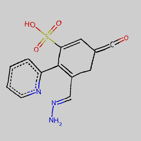 NN=CC1=C(c2ccccn2)C(S(=O)(=O)O)=CC(=C=O)C1